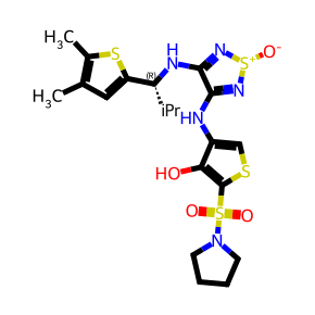 Cc1cc([C@H](Nc2n[s+]([O-])nc2Nc2csc(S(=O)(=O)N3CCCC3)c2O)C(C)C)sc1C